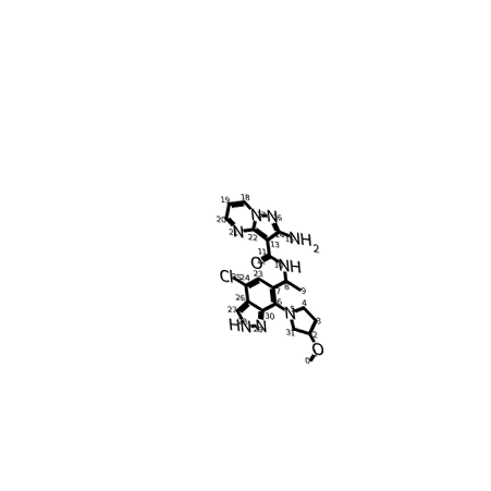 COC1CCN(c2c(C(C)NC(=O)c3c(N)nn4cccnc34)cc(Cl)c3c[nH]nc23)C1